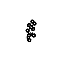 c1cc(-c2c3ccccc3c(-c3cccc4ccccc34)c3ccccc23)cc(-c2cc3oc4ccccc4c3c3c2oc2ccccc23)c1